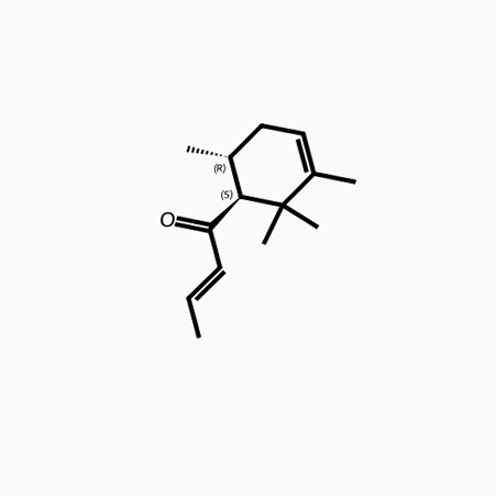 CC=CC(=O)[C@H]1[C@H](C)CC=C(C)C1(C)C